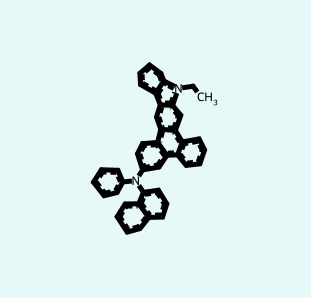 CCn1c2ccccc2c2cc3c4ccc(N(c5ccccc5)c5cccc6ccccc56)cc4c4ccccc4c3cc21